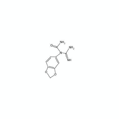 N=C(N)N(C(N)=O)c1ccc2c(c1)OCO2